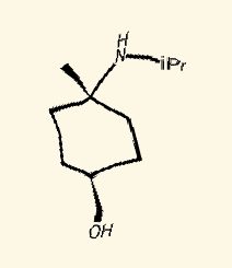 CC(C)N[C@]1(C)CC[C@@H](O)CC1